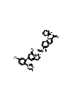 O=C1OC2(CCCC2)n2c1cc1cc(NC(=O)[C@@H]3CCc4cc(-c5cc(Cl)ccc5-n5cnnn5)cc(=O)n43)ccc12